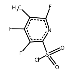 Cc1c(F)nc(S(=O)(=O)Cl)c(F)c1F